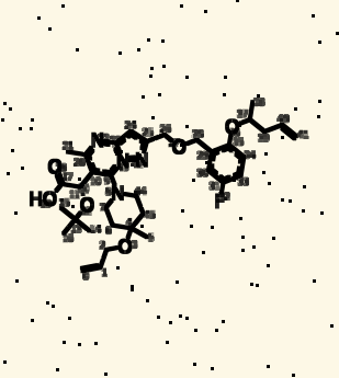 C=CCOC1(C)CCN(c2c([C@H](OC(C)(C)C)C(=O)O)c(C)nc3cc(COCc4cc(F)ccc4OC(C)CC=C)nn23)CC1